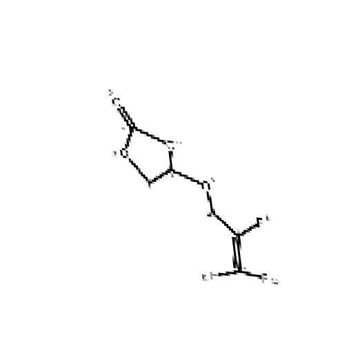 O=C1OCC(OCC(F)=C(F)F)O1